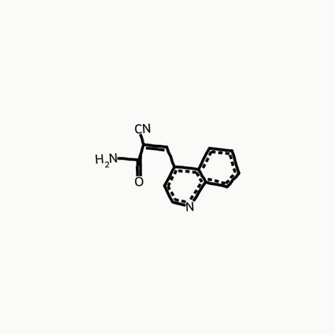 N#C/C(=C/c1ccnc2ccccc12)C(N)=O